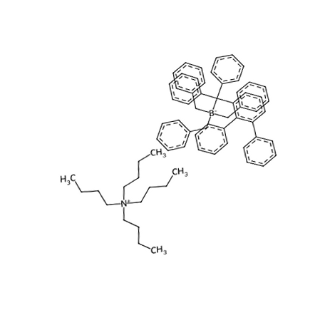 CCCC[N+](CCCC)(CCCC)CCCC.c1ccc(C[B-](Cc2ccccc2)(Cc2ccccc2)C(c2ccccc2)(c2ccccc2)c2cccc(-c3ccccc3)c2-c2ccccc2)cc1